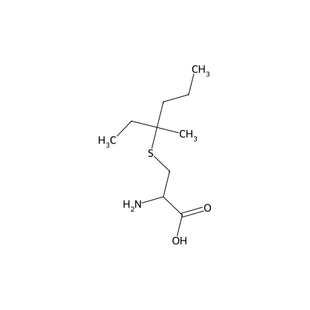 CCCC(C)(CC)SCC(N)C(=O)O